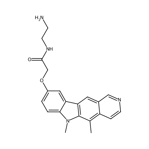 Cc1c2ccncc2cc2c3cc(OCC(=O)NCCN)ccc3n(C)c12